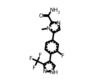 Cn1c(-c2ccc(-c3c[nH]nc3C(F)(F)F)c(F)c2)cnc1C(N)=O